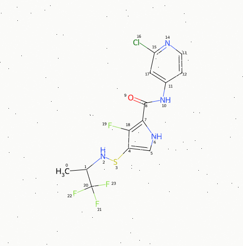 CC(NSc1c[nH]c(C(=O)Nc2ccnc(Cl)c2)c1F)C(F)(F)F